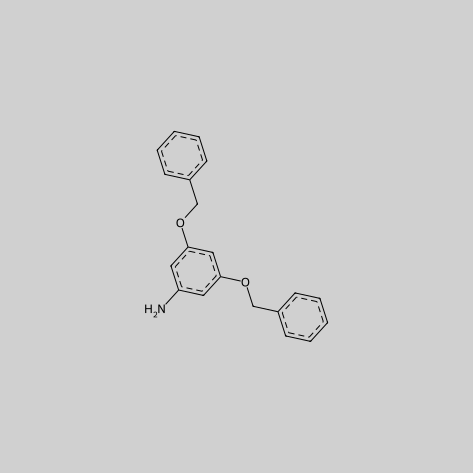 Nc1cc(OCc2ccccc2)cc(OCc2ccccc2)c1